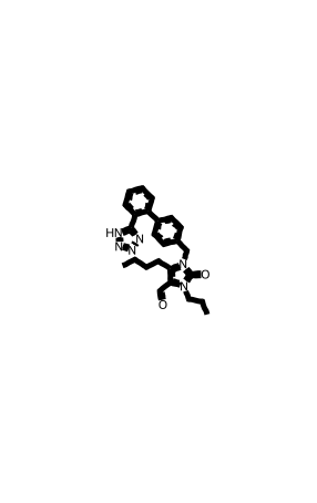 CCCCc1c(C=O)n(CCC)c(=O)n1Cc1ccc(-c2ccccc2-c2nnn[nH]2)cc1